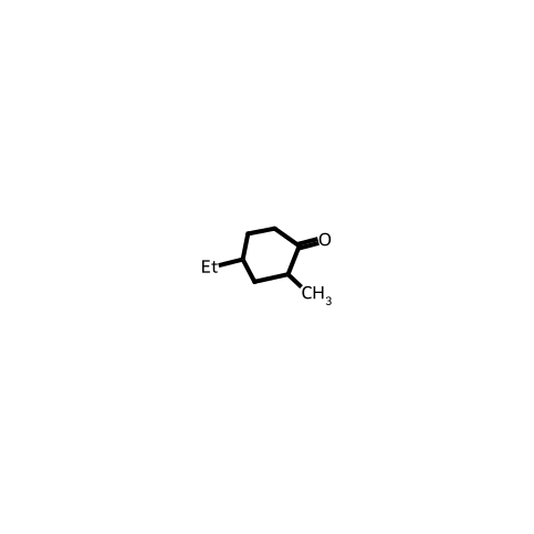 [CH2]CC1CCC(=O)C(C)C1